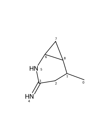 CC1CC(=N)NC2CC12